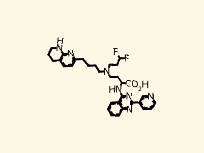 O=C(O)C(CCN(CCCCc1ccc2c(n1)NCCC2)CCC(F)F)Nc1nc(-c2cccnc2)nc2ccccc12